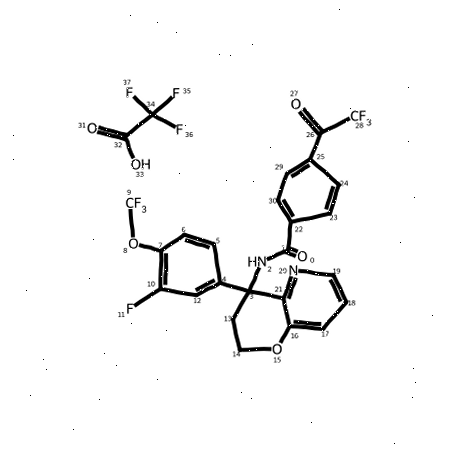 O=C(NC1(c2ccc(OC(F)(F)F)c(F)c2)CCOc2cccnc21)c1ccc(C(=O)C(F)(F)F)cc1.O=C(O)C(F)(F)F